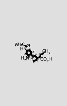 C=CCC(C(=O)O)c1ccnc(-c2ccc(NC(=O)OC)cc2N)c1